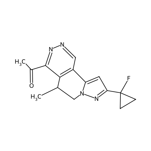 CC(=O)c1nncc2c1C(C)Cn1nc(C3(F)CC3)cc1-2